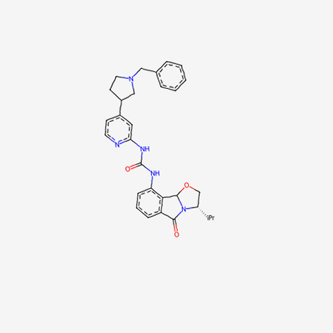 CC(C)[C@H]1COC2c3c(NC(=O)Nc4cc(C5CCN(Cc6ccccc6)C5)ccn4)cccc3C(=O)N21